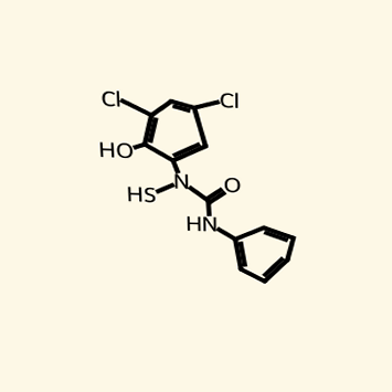 O=C(Nc1ccccc1)N(S)c1cc(Cl)cc(Cl)c1O